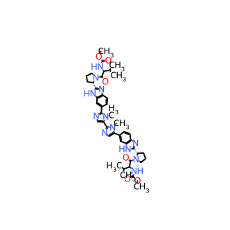 COC(=O)NC(C(=O)N1CCC[C@H]1c1nc2ccc(-c3cnc(-c4cnc(-c5ccc6nc([C@@H]7CCCN7C(=O)[C@@H](NC(=O)OC)C(C)C)[nH]c6c5)n4C)n3C)cc2[nH]1)C(C)C